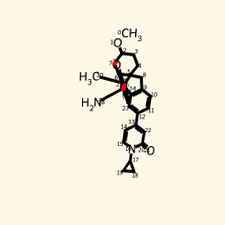 COC1CCC2(CC1)Cc1ccc(-c3ccn(C4CC4)c(=O)c3)cc1C21N=C(N)N(C)C1=O